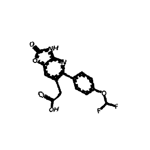 O=C(O)Cc1cc2oc(=O)[nH]c2nc1-c1ccc(OC(F)F)cc1